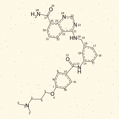 CN(C)CCCOc1ccc(C(=O)Nc2cccc(CNc3ncnc4c(C(N)=O)cccc34)c2)cc1